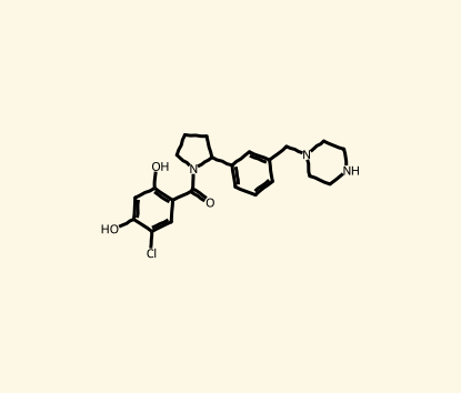 O=C(c1cc(Cl)c(O)cc1O)N1CCCC1c1cccc(CN2CCNCC2)c1